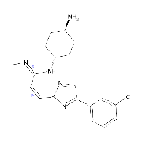 C/N=C(\C=C/C1N=CC(c2cccc(Cl)c2)=N1)N[C@H]1CC[C@H](N)CC1